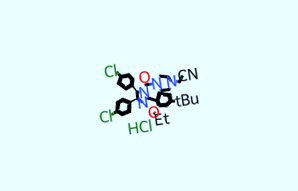 CCOc1cc(C(C)(C)C)ccc1C1=N[C@@H](c2ccc(Cl)cc2)[C@@H](c2ccc(Cl)cc2)N1C(=O)N1CCN(CC#N)CC1.Cl